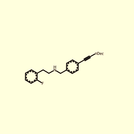 CCCCCCCCCCC#Cc1ccc(CNCCc2ccccc2F)cc1